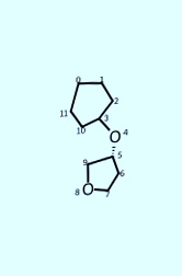 C1CCC(O[C@@H]2CCOC2)CC1